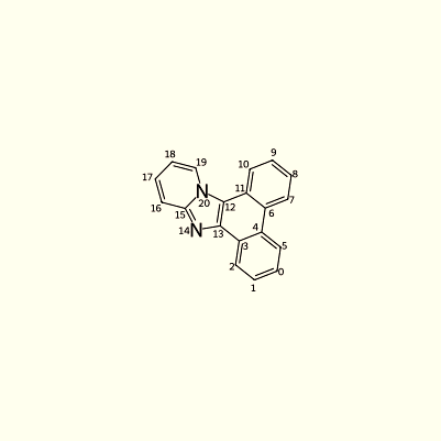 c1ccc2c(c1)c1ccccc1c1c2nc2ccccn21